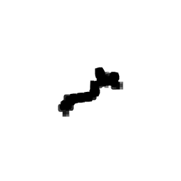 CCc1cccc2cc(O)cc(-c3ncc4c(N5CC6CCC(C5)N6)nc(OCC5(CN6CCC(OC7CCN(C8CCN(c9ccc%10c(c9)CN(C9CCC(=O)NC9=O)C%10=O)CC8)CC7)CC6)CC5)nc4c3F)c12